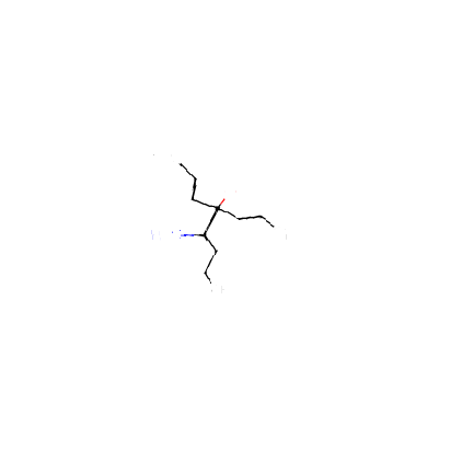 CCCC(N)C(O)(CCC)CCC